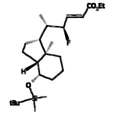 CCOC(=O)/C=C/[C@@H](F)[C@@H](C)[C@H]1CC[C@H]2[C@@H](O[Si](C)(C)C(C)(C)C)CCC[C@]12C